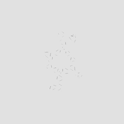 c1ccc(-c2ccc(N(c3ccc(-c4cc(-c5cccc(-c6ccc(N(c7ccc(-c8cccc9ccccc89)cc7)c7ccc(-c8cccc9c8sc8ncccc89)cc7)cc6)c5)cc5ccccc45)cc3)c3ccc(-c4cccc5sc6ncccc6c45)cc3)cc2)cc1